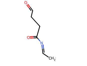 [CH2]C=NC(=O)CCC=O